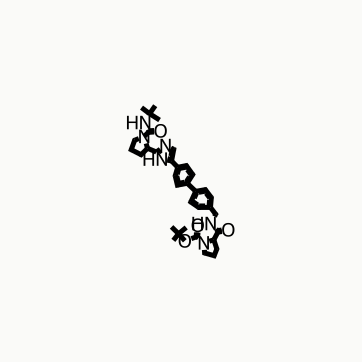 CC(C)(C)NC(=O)N1CCCC1c1ncc(-c2ccc(-c3ccc(CNC(=O)C4CCCN4C(=O)OC(C)(C)C)cc3)cc2)[nH]1